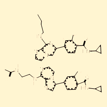 CC(=O)NCCNc1nccn2c(-c3ccc(C(=O)NC4CC4)c(C)c3)cnc12.CCCCNc1nc(-c2ccc(C(=O)NC3CC3)c(C)c2)cn2ccnc12